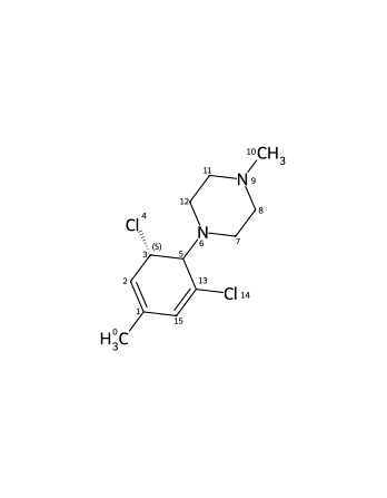 CC1=C[C@H](Cl)C(N2CCN(C)CC2)C(Cl)=C1